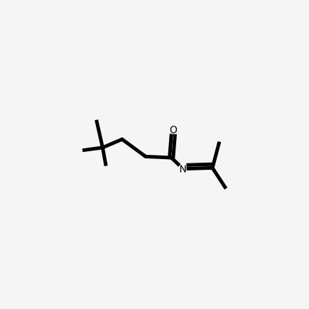 CC(C)=NC(=O)CCC(C)(C)C